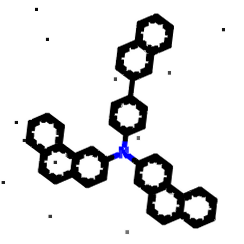 c1ccc2cc(-c3ccc(N(c4ccc5c(ccc6ccccc65)c4)c4ccc5ccc6ccccc6c5c4)cc3)ccc2c1